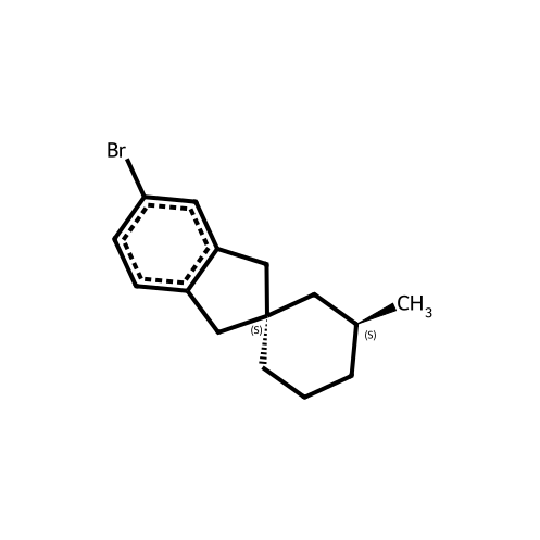 C[C@H]1CCC[C@@]2(Cc3ccc(Br)cc3C2)C1